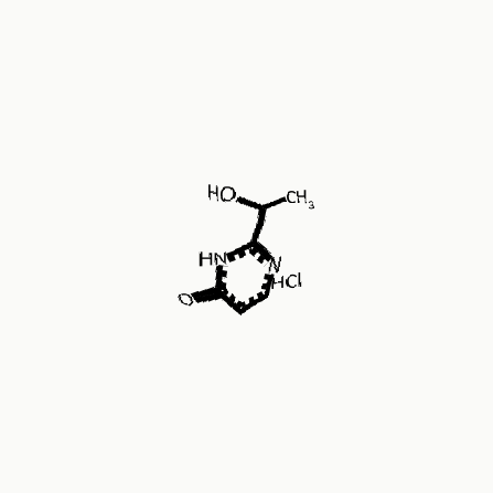 CC(O)c1nccc(=O)[nH]1.Cl